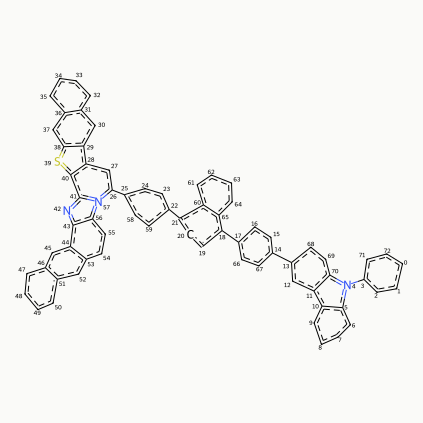 c1ccc(-n2c3ccccc3c3cc(-c4ccc(-c5ccc(-c6ccc(-c7cc8c9cc%10ccccc%10cc9sc8c8nc9c%10cc%11ccccc%11cc%10ccc9n78)cc6)c6ccccc56)cc4)ccc32)cc1